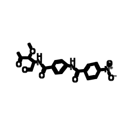 COC(C(C)=O)C(C=O)NC(=O)c1ccc(NC(=O)c2ccc([N+](=O)[O-])cc2)cc1